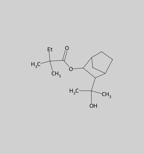 CCC(C)(C)C(=O)OC1C2CCC(C2)C1C(C)(C)O